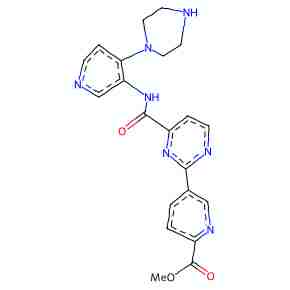 COC(=O)c1ccc(-c2nccc(C(=O)Nc3cnccc3N3CCNCC3)n2)cn1